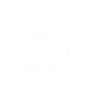 CC(=O)OC1=CC(=O)C=C(OC(C)=O)C1=O